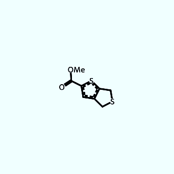 COC(=O)c1cc2c(s1)CSC2